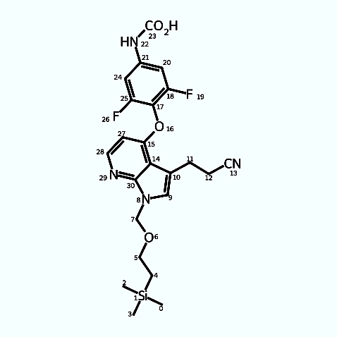 C[Si](C)(C)CCOCn1cc(CCC#N)c2c(Oc3c(F)cc(NC(=O)O)cc3F)ccnc21